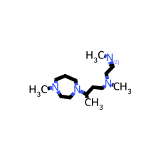 C/N=C\CN(C)CCC(C)N1CCCN(C)CC1